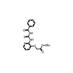 CC(C)(C)OC(=O)COc1cccnc1NC(=S)NC(=O)c1ccccc1